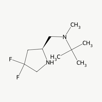 CN(C[C@@H]1CC(F)(F)CN1)C(C)(C)C